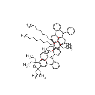 CCCCCCCCC1(CCCCCCCC)c2cc(N(c3ccccc3)c3ccccc3-c3ccc4c(c3)C(CC)(CC)OC4(CC)CC)ccc2-c2ccc(N(c3ccccc3)c3ccccc3-c3ccc4c(c3)C(CC)(CC)OC4(CC)CC)cc21